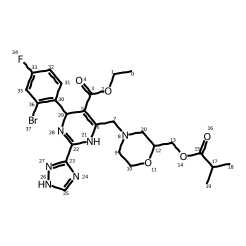 CCOC(=O)C1=C(CN2CCOC(COC(=O)C(C)C)C2)NC(c2nc[nH]n2)=NC1c1ccc(F)cc1Br